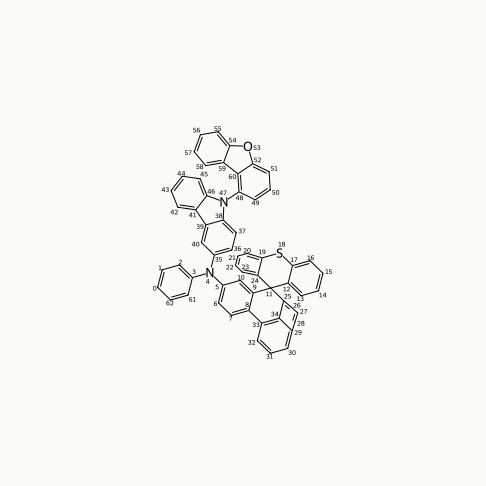 c1ccc(N(c2ccc3c(c2)C2(c4ccccc4Sc4ccccc42)c2cccc4cccc-3c24)c2ccc3c(c2)c2ccccc2n3-c2cccc3oc4ccccc4c23)cc1